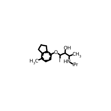 Cc1ccc(OC(I)C(O)C(C)NC(C)C)c2c1CCC2